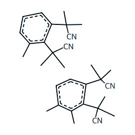 Cc1ccc(C(C)(C)C#N)c(C(C)(C)C#N)c1C.Cc1cccc(C(C)(C)C#N)c1C(C)(C)C#N